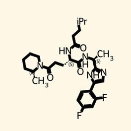 CC(C)CCC(=O)N[C@@H](CCC(=O)N1CCCC[C@H]1C)C(=O)N[C@@H](C)c1ncc(-c2ccc(F)cc2F)[nH]1